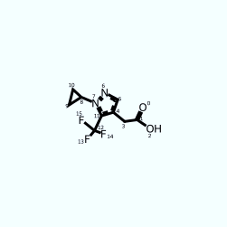 O=C(O)Cc1cnn(C2CC2)c1C(F)(F)F